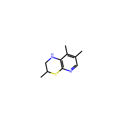 Cc1cnc2c(c1C)NCC(C)S2